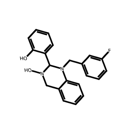 Oc1ccccc1C1N(O)Cc2ccccc2N1Cc1cccc(F)c1